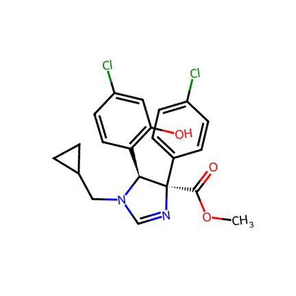 COC(=O)[C@]1(c2ccc(Cl)cc2)N=CN(CC2CC2)[C@H]1c1ccc(Cl)cc1O